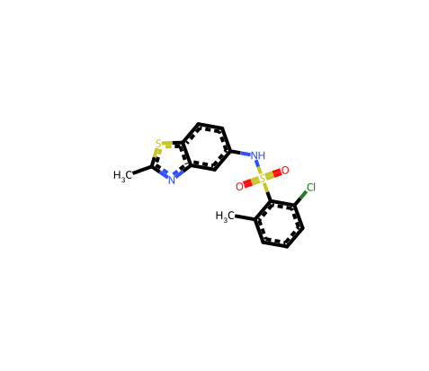 Cc1nc2cc(NS(=O)(=O)c3c(C)cccc3Cl)ccc2s1